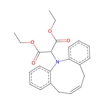 CCOC(=O)C(C(=O)OCC)N1c2ccccc2CC=CCc2ccccc21